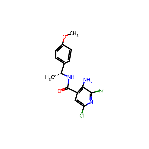 COc1ccc([C@@H](C)NC(=O)c2cc(Cl)nc(Br)c2N)cc1